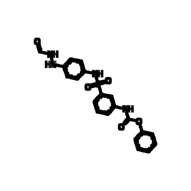 O=CNNc1ccc(NS(=O)(=O)c2cccc(NC(=O)Oc3ccccc3)c2)cc1